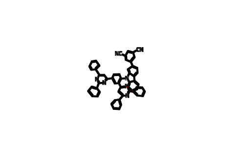 N#Cc1cc(C#N)cc(-c2ccc3c4ccccc4n(-c4ccc(-c5cc(-c6ccccc6)nc(-c6ccccc6)n5)cc4-c4cc(-c5ccccc5)nc(-c5ccccc5)n4)c3c2)c1